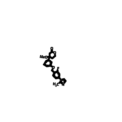 COC1(c2cccc(OCc3ccc(-n4ccnc4C)cc3F)c2)CCOC(=O)C1